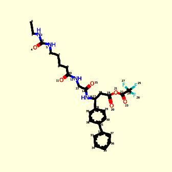 CCNC(=O)NCCCCC(=O)NCC(=O)NC(CC(=O)OC(=O)C(F)(F)F)c1ccc(-c2ccccc2)cc1